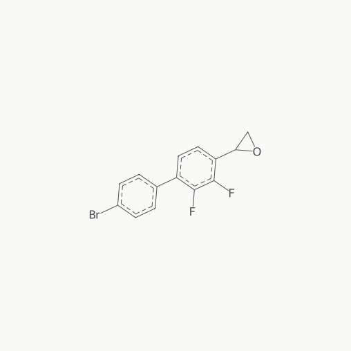 Fc1c(-c2ccc(Br)cc2)ccc(C2CO2)c1F